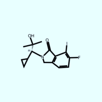 CC(C)(O)[C@@H](C1CC1)N1Cc2ccc(F)c(I)c2C1=O